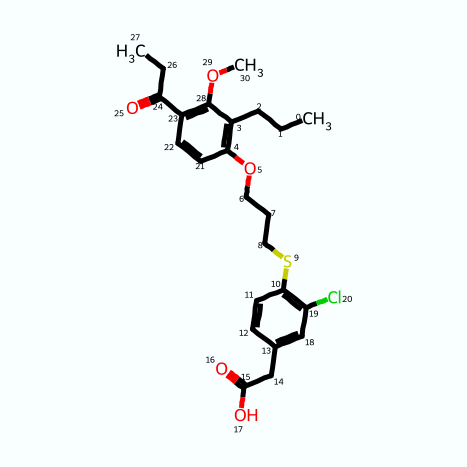 CCCc1c(OCCCSc2ccc(CC(=O)O)cc2Cl)ccc(C(=O)CC)c1OC